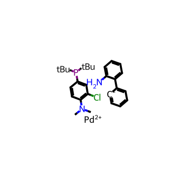 CN(C)c1ccc(P(C(C)(C)C)C(C)(C)C)cc1Cl.Nc1ccccc1-c1[c-]cccc1.[Pd+2]